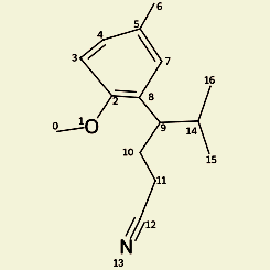 COc1ccc(C)cc1C(CCC#N)C(C)C